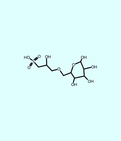 O=S(=O)(O)CC(O)COCC1OC(O)C(O)C(O)C1O